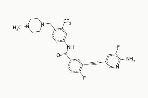 CN1CCN(Cc2ccc(NC(=O)c3ccc(F)c(C#Cc4cnc(N)c(F)c4)c3)cc2C(F)(F)F)CC1